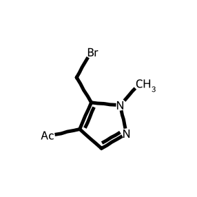 CC(=O)c1cnn(C)c1CBr